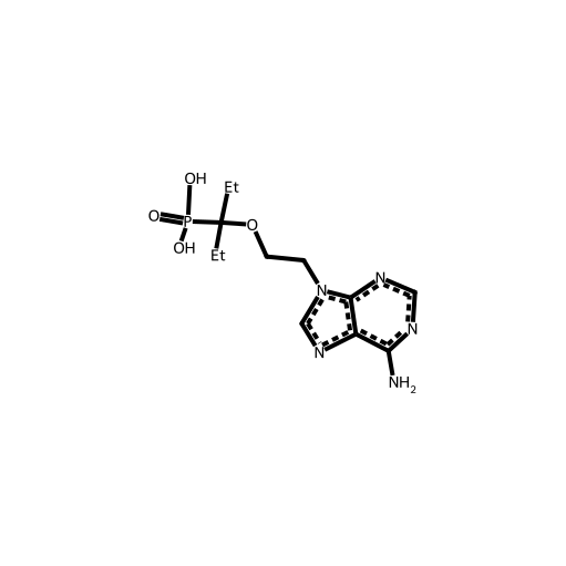 CCC(CC)(OCCn1cnc2c(N)ncnc21)P(=O)(O)O